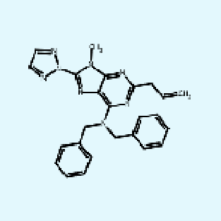 C=CCc1nc(N(Cc2ccccc2)Cc2ccccc2)c2nc(-n3nccn3)n(C)c2n1